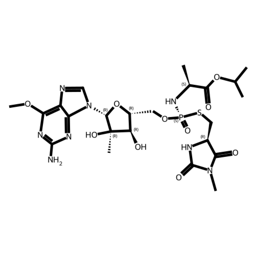 COc1nc(N)nc2c1ncn2[C@@H]1O[C@H](CO[P@@](=O)(N[C@@H](C)C(=O)OC(C)C)SC[C@@H]2NC(=O)N(C)C2=O)[C@@H](O)[C@@]1(C)O